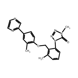 Cc1cc(-c2cnccn2)ccc1OCc1c(C)cccc1-n1nnn(C)c1=O